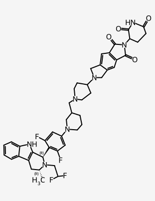 C[C@@H]1Cc2c([nH]c3ccccc23)[C@@H](c2c(F)cc(N3CCCC(CN4CCC(N5Cc6cc7c(cc6C5)C(=O)N(C5CCC(=O)NC5=O)C7=O)CC4)C3)cc2F)N1CC(F)F